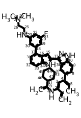 C=C/C(=C\C(=C/C)c1ccc2[nH]nc(-c3cc4c(-c5cc(F)cc(NCCN(C)C)c5)cccc4[nH]3)c2c1)NC(=C)C1CCCCC1